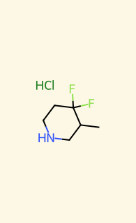 CC1CNCCC1(F)F.Cl